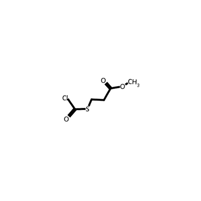 COC(=O)CCSC(=O)Cl